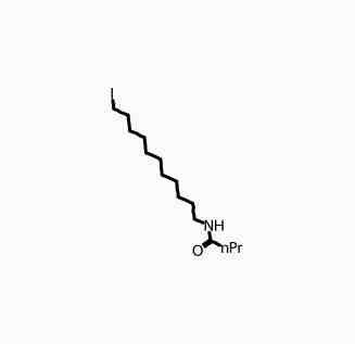 CCCC(=O)NCCCCCCCCCCCI